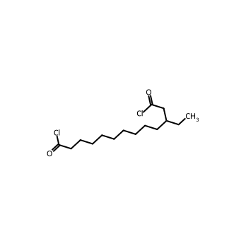 CCC(CCCCCCCCCC(=O)Cl)CC(=O)Cl